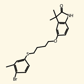 Cc1cc(SCCCCOc2ccc3c(c2)C(C)(C)C(=O)N3)ccc1Br